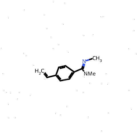 C=Cc1ccc(C(=NC)NC)cc1